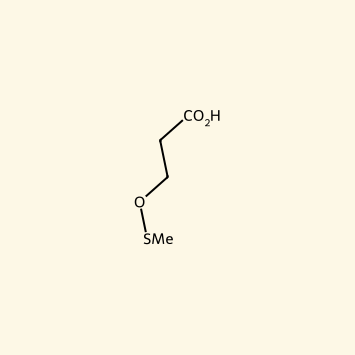 CSOCCC(=O)O